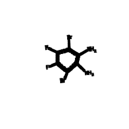 Nc1c(N)c(Br)c(F)c(F)c1Br